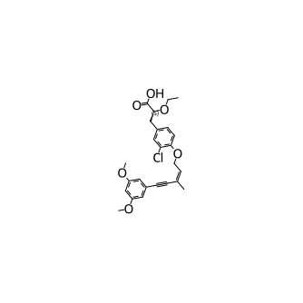 CCO[C@@H](Cc1ccc(OCC=C(C)C#Cc2cc(OC)cc(OC)c2)c(Cl)c1)C(=O)O